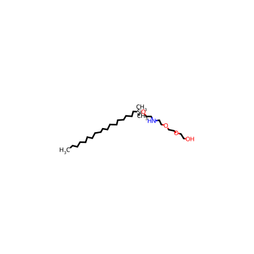 CCCCCCCCCCCCCCCCCC[Si](C)(C)OCCNCCOCCOCCO